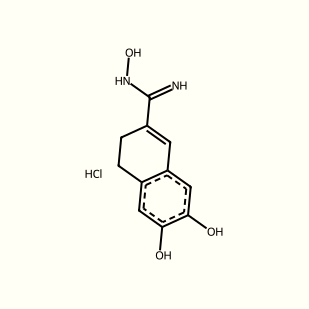 Cl.N=C(NO)C1=Cc2cc(O)c(O)cc2CC1